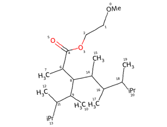 COCCOC(=O)C(C)C(C(C)C(C)C(C)C)C(C)C(C)C(C)C(C)C